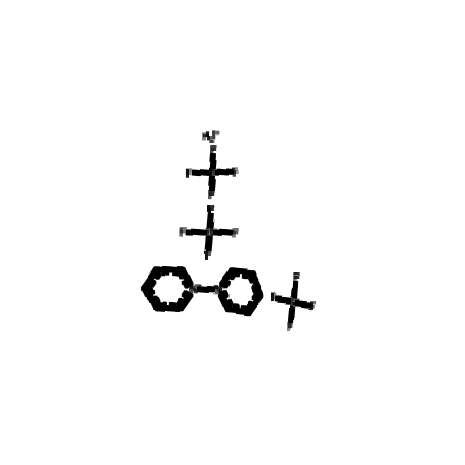 F[B-](F)(F)F.F[B-](F)(F)F.F[B-](F)(F)F.[IH2+].c1cc[n+](-[n+]2ccccc2)cc1